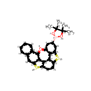 CC1(C)OB(c2cc3oc4c5ccccc5cc5sc6ccc7sc(c2)c3c7c6c54)OC1(C)C